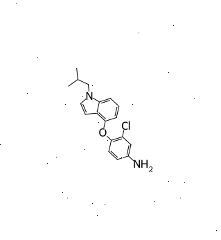 CC(C)Cn1ccc2c(Oc3ccc(N)cc3Cl)cccc21